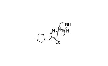 CCc1c(CC2CCCCC2)cnc2c1CC[C@@H]1CNCCN21